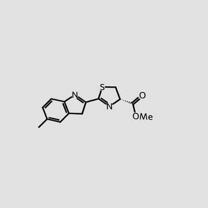 COC(=O)[C@H]1CSC(C2=Nc3ccc(C)cc3C2)=N1